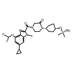 Cn1c(C(=O)N2CCN([C@H]3CC[C@H](O[Si](C)(C)C(C)(C)C)CC3)C(=O)C2)nc2c(OC(F)F)cc(C3CC3)cc21